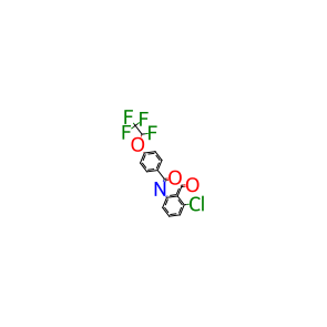 O=c1oc(-c2ccc(OC(F)C(F)(F)F)cc2)nc2cccc(Cl)c12